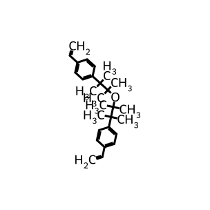 C=Cc1ccc(C(C)(C)C(C)(C)OC(C)(C)C(C)(C)c2ccc(C=C)cc2)cc1